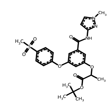 CC(Oc1cc(Oc2ccc(S(C)(=O)=O)cc2)cc(C(=O)Nc2ccn(C)n2)c1)C(=O)OC(C)(C)C